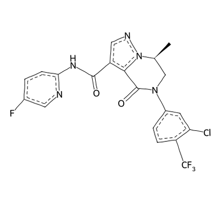 C[C@H]1CN(c2ccc(C(F)(F)F)c(Cl)c2)C(=O)c2c(C(=O)Nc3ccc(F)cn3)cnn21